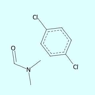 CN(C)C=O.Clc1ccc(Cl)cc1